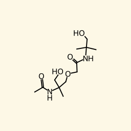 CC(=O)NC(C)(CO)COCC(=O)NC(C)(C)CO